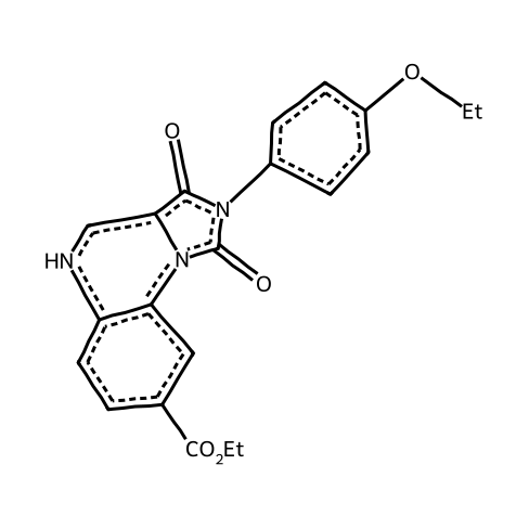 CCOC(=O)c1ccc2[nH]cc3c(=O)n(-c4ccc(OCC)cc4)c(=O)n-3c2c1